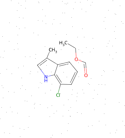 CCOC=O.Cc1c[nH]c2c(Cl)cccc12